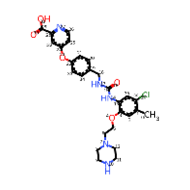 Cc1cc(OCCN2CCNCC2)c(NC(=O)NCc2ccc(Oc3ccnc(C(=O)O)c3)cc2)cc1Cl